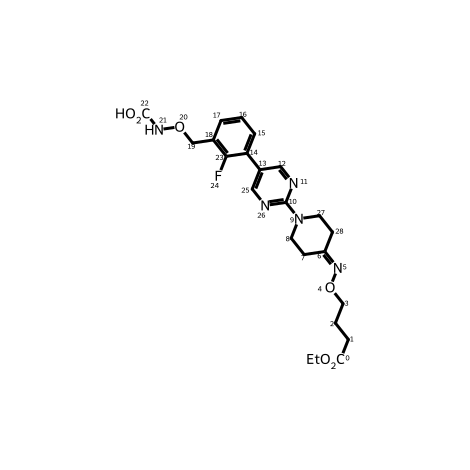 CCOC(=O)CCCON=C1CCN(c2ncc(-c3cccc(CONC(=O)O)c3F)cn2)CC1